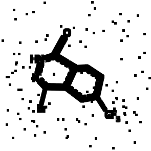 O=c1[nH]nc(Br)c2cc(C(F)(F)F)ccc12